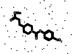 COC(=O)CCC1CCN(C(=O)Oc2ccc([N+](=O)[O-])cc2)CC1